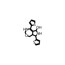 OC1NC(c2cccs2)C2COCNC(c3cccs3)=C12